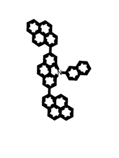 c1ccc2cc(-n3c4cc(-c5ccc6ccc7cccc8ccc5c6c78)cc5ccc6cc(-c7ccc8ccc9cccc%10ccc7c8c9%10)cc3c6c54)ccc2c1